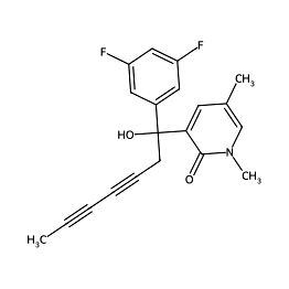 CC#CC#CCC(O)(c1cc(F)cc(F)c1)c1cc(C)cn(C)c1=O